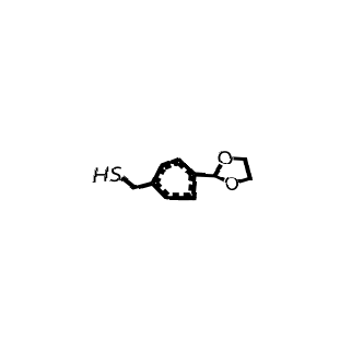 SCc1ccc(C2OCCO2)cc1